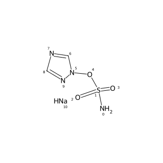 NS(=O)(=O)On1cncn1.[NaH]